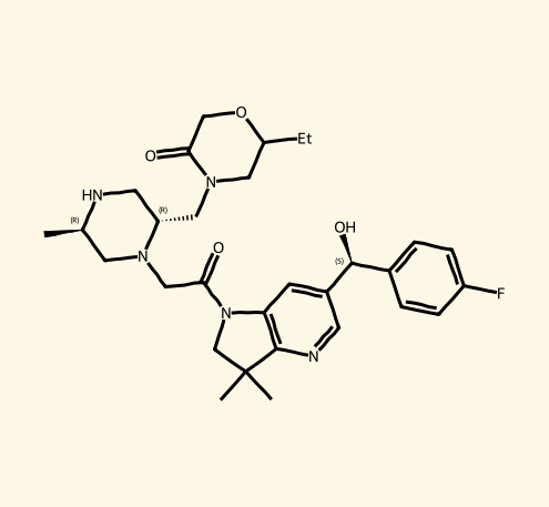 CCC1CN(C[C@H]2CN[C@H](C)CN2CC(=O)N2CC(C)(C)c3ncc([C@@H](O)c4ccc(F)cc4)cc32)C(=O)CO1